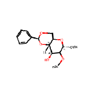 CCCCOC1[C@@H](OC)OC2COC(c3ccccc3)O[C@H]2[C@@H]1O